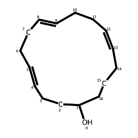 OC1CC/C=C/CC/C=C/CC/C=C\CCC1